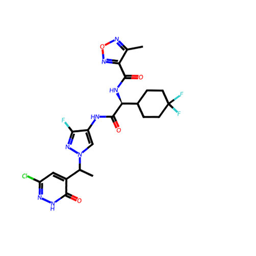 Cc1nonc1C(=O)N[C@H](C(=O)Nc1cn(C(C)c2cc(Cl)n[nH]c2=O)nc1F)C1CCC(F)(F)CC1